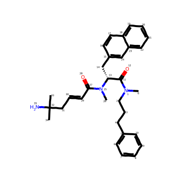 CN(CCCc1ccccc1)C(=O)[C@@H](Cc1ccc2ccccc2c1)N(C)C(=O)C=CCC(C)(C)N